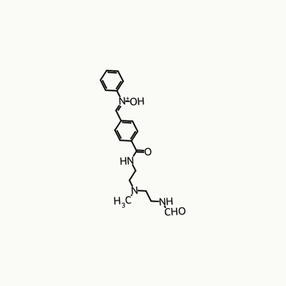 CN(CCNC=O)CCNC(=O)c1ccc(/C=[N+](\O)c2ccccc2)cc1